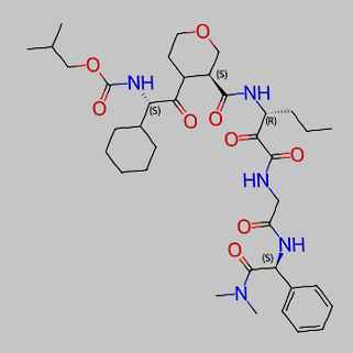 CCC[C@@H](NC(=O)[C@@H]1COCCC1C(=O)[C@@H](NC(=O)OCC(C)C)C1CCCCC1)C(=O)C(=O)NCC(=O)N[C@H](C(=O)N(C)C)c1ccccc1